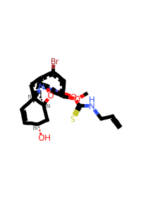 C=CCNC(=S)ON1CC[C@@]23C=C[C@@H](O)C[C@@H]2Oc2c(OC)cc(Br)c(c23)C1